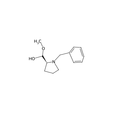 COC(O)[C@@H]1CCCN1Cc1ccccc1